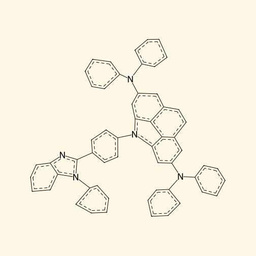 c1ccc(N(c2ccccc2)c2cc3ccc4cc(N(c5ccccc5)c5ccccc5)cc5c4c3c(c2)n5-c2ccc(-c3nc4ccccc4n3-c3ccccc3)cc2)cc1